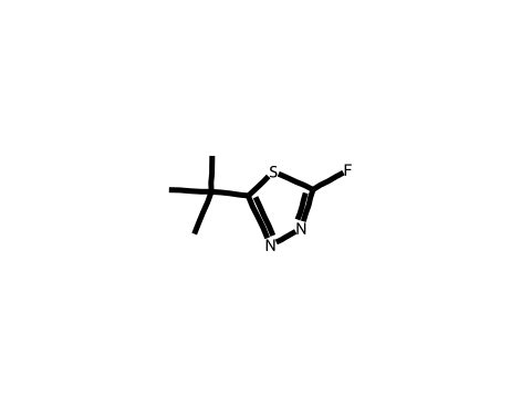 CC(C)(C)c1nnc(F)s1